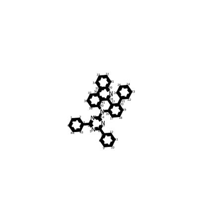 c1ccc(-c2nc(-c3ccccc3)nc(N3c4cccc(-c5ccccc5)c4-c4nc5ccccc5c5cccc3c45)n2)cc1